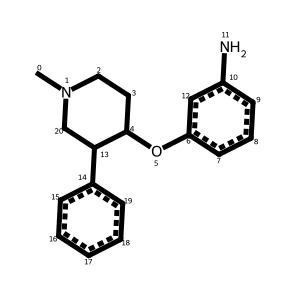 CN1CCC(Oc2cccc(N)c2)C(c2ccccc2)C1